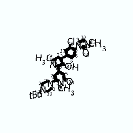 Cc1cc(-c2ccc(-n3ccn(C)c3=O)c(Cl)c2)c(O)c(-c2cc(N3CCN(C(C)(C)C)CC3)n(C)c(=O)c2)n1